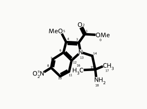 COC(=O)c1c(OC)c2cc([N+](=O)[O-])ccc2n1CC(C)(C)N